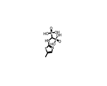 Cc1cnc(NC(P(=O)(O)O)P(=O)(O)O)s1